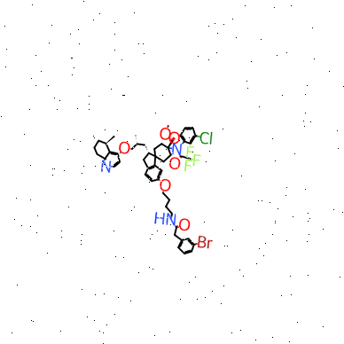 COC(=O)C1(N(C(=O)C(F)(F)F)c2cccc(Cl)c2)CCC2(CC1)c1cc(OCCCCNC(=O)Cc3cccc(Br)c3)ccc1C[C@@H]2C[C@@H](C)COc1ccnc2c1[C@H](C)CCC2